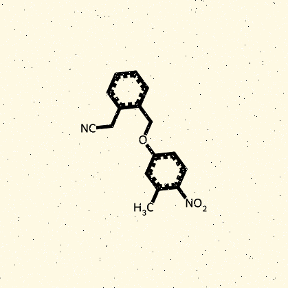 Cc1cc(OCc2ccccc2CC#N)ccc1[N+](=O)[O-]